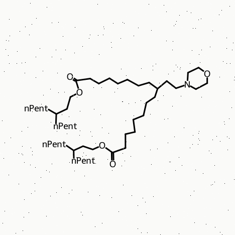 CCCCCC(CCCCC)CCOC(=O)CCCCCCCC(CCCCCCCC(=O)OCCC(CCCCC)CCCCC)CCN1CCOCC1